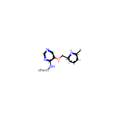 CCCCCNc1ncncc1OCc1cccc(C)n1